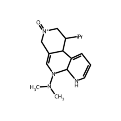 CC(C)C1C[N+](=O)CC2=CN(N(C)C)C3NC=CC=C3C21